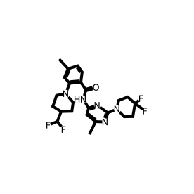 Cc1ccc(C(=O)Nc2cc(C)nc(N3CCC(F)(F)CC3)n2)c(N2CCC(C(F)F)CC2)c1